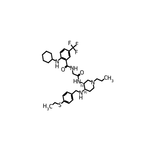 CCCN1CC[C@@H](NCc2ccc(SCC)cc2)[C@@H](NC(=O)CNC(=O)c2cc(C(F)(F)F)ccc2NC2CCCCC2)C1